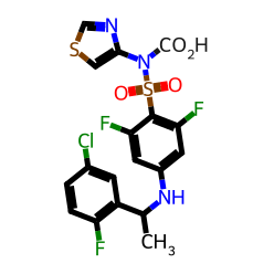 CC(Nc1cc(F)c(S(=O)(=O)N(C(=O)O)c2cscn2)c(F)c1)c1cc(Cl)ccc1F